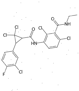 CCNC(=O)c1c(Cl)ccc(NC(=O)C2C(c3ccc(F)c(Cl)c3)C2(Cl)Cl)c1Cl